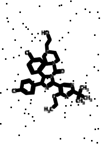 CCOc1nc(C(C)(C)C)ncc1C1=NC(c2ccc(Cl)cc2)C(c2ccc(Cl)cc2)N1C(=O)N1CCN(CCO)CC1